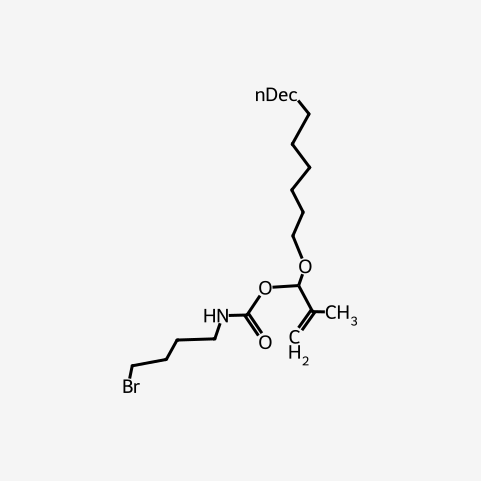 C=C(C)C(OCCCCCCCCCCCCCCCC)OC(=O)NCCCCBr